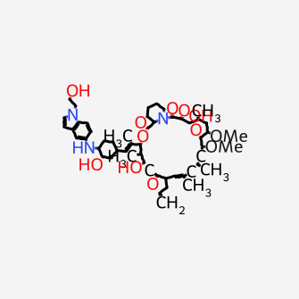 C=CCC1/C=C(\C)CC(C)CC(OC)C2OC(O)(C(=O)C(=O)N3CCCCC3C(=O)OC(C(C)=CC3CCC(Nc4ccc5c(ccn5CCO)c4)C(O)C3)C(C)C(O)CC1=O)C(C)CC2OC